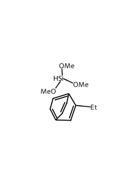 CCc1cc2ccc1cc2.CO[SiH](OC)OC